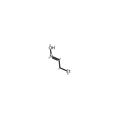 CCCC=NO